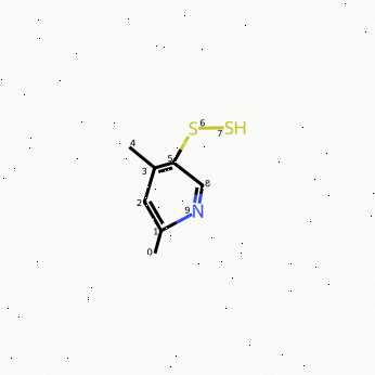 Cc1cc(C)c(SS)cn1